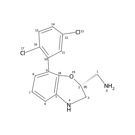 NC[C@@H]1CNc2cccc(-c3cc(Cl)ccc3Cl)c2O1